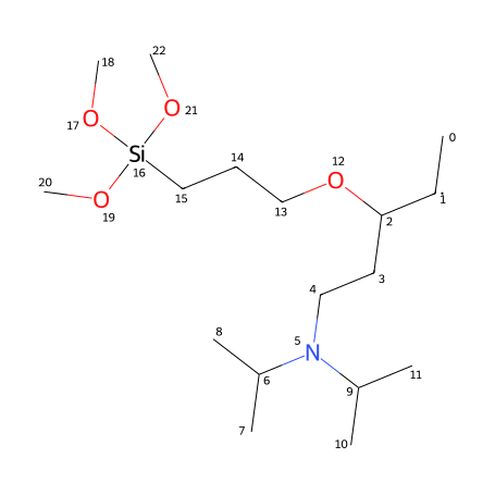 C[CH]C(CCN(C(C)C)C(C)C)OCCC[Si](OC)(OC)OC